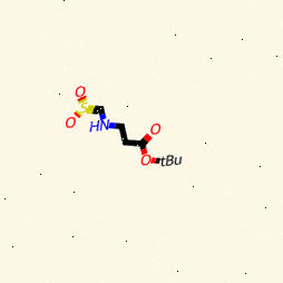 CC(C)(C)OC(=O)CCNC=S(=O)=O